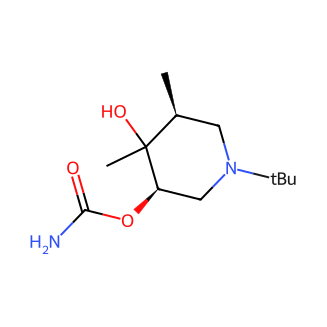 C[C@H]1CN(C(C)(C)C)C[C@@H](OC(N)=O)C1(C)O